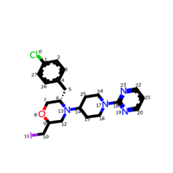 Clc1ccc(C[C@H]2COC(CI)CN2C2CCN(c3ncccn3)CC2)cc1